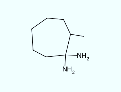 CC1CCCCCC1(N)N